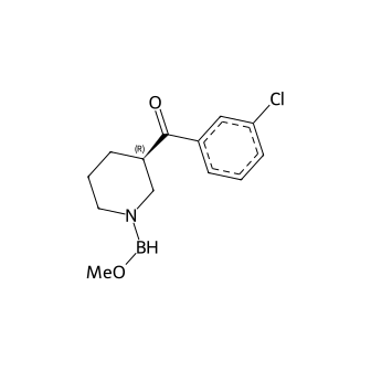 COBN1CCC[C@@H](C(=O)c2cccc(Cl)c2)C1